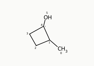 CC1CC[C]1O